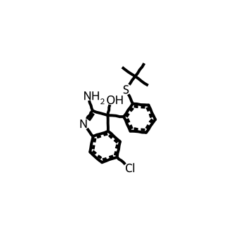 CC(C)(C)Sc1ccccc1C1(O)C(N)=Nc2ccc(Cl)cc21